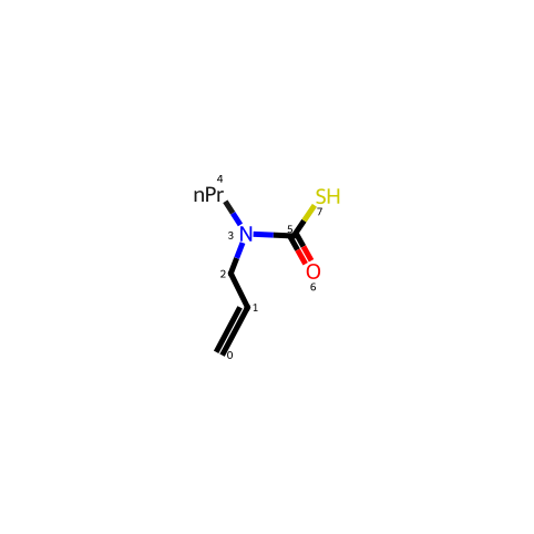 C=CCN(CCC)C(=O)S